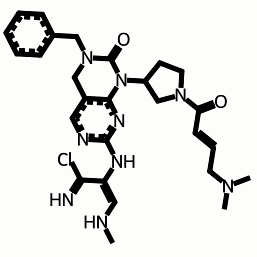 CN/C=C(/Nc1ncc2c(n1)N(C1CCN(C(=O)/C=C/CN(C)C)C1)C(=O)N(Cc1ccccc1)C2)C(=N)Cl